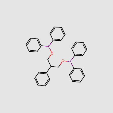 c1ccc(C(COP(c2ccccc2)c2ccccc2)COP(c2ccccc2)c2ccccc2)cc1